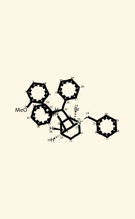 COc1ccccc1CN[C@H]1[C@H]2CC[N@+](Cc3ccccc3)(CC2)[C@]1(Br)C(c1ccccc1)c1ccccc1